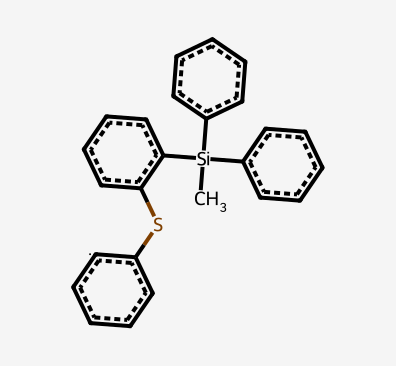 C[Si](c1ccccc1)(c1ccccc1)c1ccccc1Sc1[c]cccc1